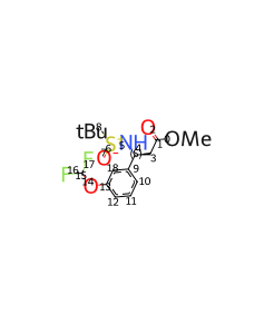 COC(=O)C[C@H](N[S+]([O-])C(C)(C)C)c1cccc(OC(F)F)c1